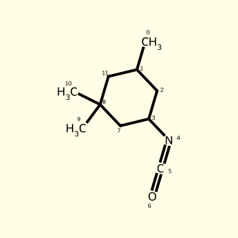 CC1CC(N=C=O)CC(C)(C)C1